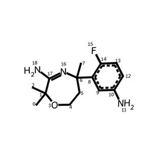 CC1(C)OCCC(C)(c2cc(N)ccc2F)N=C1N